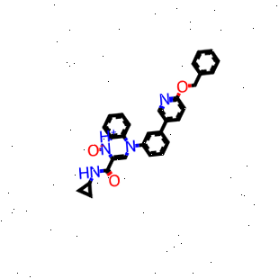 O=C(NC1CC1)C1=CN(c2cccc(-c3ccc(OCc4ccccc4)nc3)c2)c2ccccc2[NH+]1[O-]